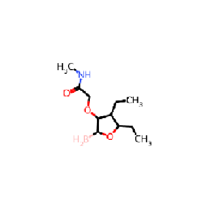 BC1OC(CC)C(CC)C1OCC(=O)NC